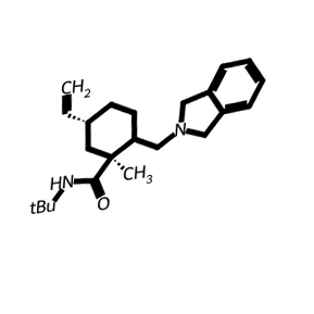 C=C[C@@H]1CCC(CN2Cc3ccccc3C2)[C@@](C)(C(=O)NC(C)(C)C)C1